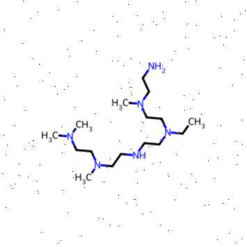 CCN(CCNCCN(C)CCN(C)C)CCN(C)CCN